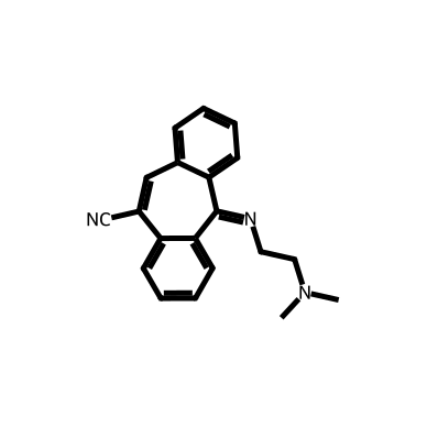 CN(C)CCN=c1c2ccccc2cc(C#N)c2ccccc12